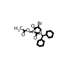 CC(=O)OCn1c(=O)c(Br)cn(C(c2ccccc2)c2ccccc2)c1=O